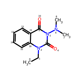 CCn1c(=O)n(N(C)C)c(=O)c2ccccc21